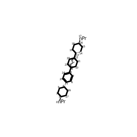 CCC[C@H]1CC[C@H](c2ccc(C34CCC([C@H]5CC[C@H](CCC)CC5)(CC3)CC4)cc2)CC1